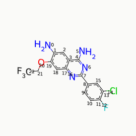 Nc1cc2c(N)nc(-c3ccc(F)c(Cl)c3)nc2cc1OCC(F)(F)F